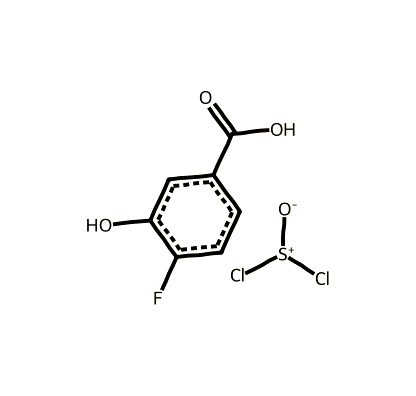 O=C(O)c1ccc(F)c(O)c1.[O-][S+](Cl)Cl